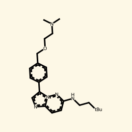 CN(C)CCOCc1ccc(-c2cnc3ccc(NCCC(C)(C)C)nn23)cc1